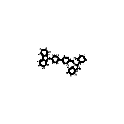 c1ccc2c(c1)nc(-c1ccc(-c3ccc(-n4c5ccccc5c5ccccc54)cc3)cc1)n1c3ccccc3nc21